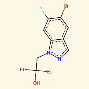 CCC(O)(CC)Cn1ncc2cc(Br)c(F)cc21